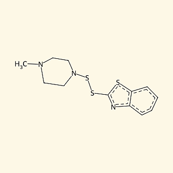 CN1CCN(SSc2nc3ccccc3s2)CC1